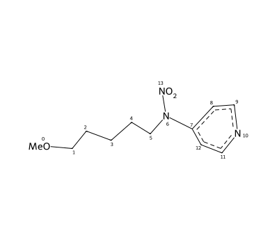 COCCCCCN(c1ccncc1)[N+](=O)[O-]